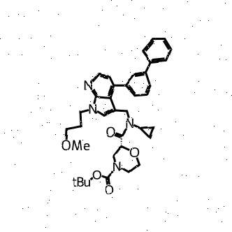 COCCCn1cc(CN(C(=O)[C@H]2CN(C(=O)OC(C)(C)C)CCO2)C2CC2)c2c(-c3cccc(-c4ccccc4)c3)ccnc21